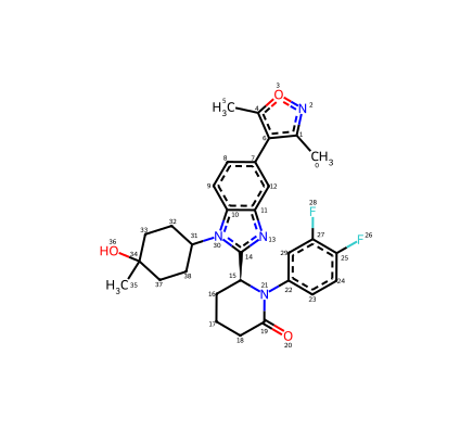 Cc1noc(C)c1-c1ccc2c(c1)nc([C@@H]1CCCC(=O)N1c1ccc(F)c(F)c1)n2C1CCC(C)(O)CC1